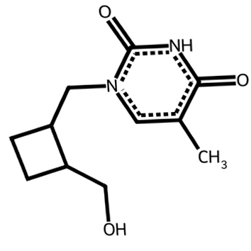 Cc1cn(CC2CCC2CO)c(=O)[nH]c1=O